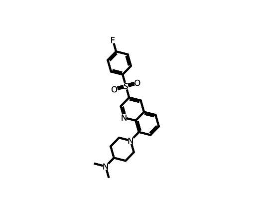 CN(C)C1CCN(c2cccc3cc(S(=O)(=O)c4ccc(F)cc4)cnc23)CC1